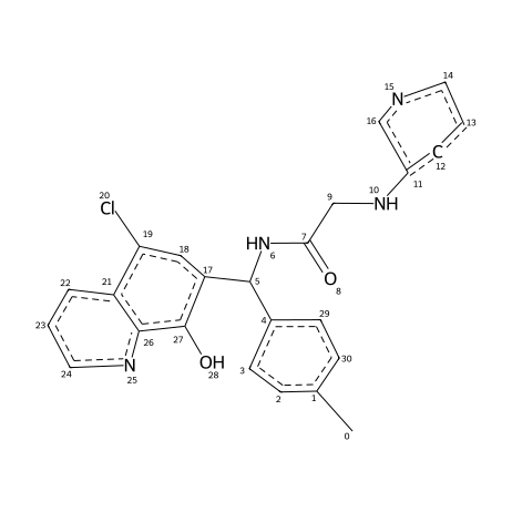 Cc1ccc(C(NC(=O)CNc2cccnc2)c2cc(Cl)c3cccnc3c2O)cc1